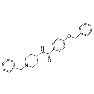 O=C(NC1CCN(Cc2ccccc2)CC1)c1ccc(OCc2ccccc2)cc1